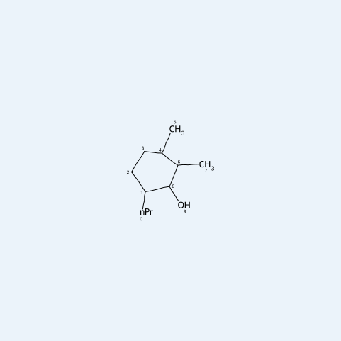 CCCC1CCC(C)C(C)C1O